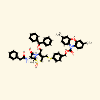 CC(=O)Oc1ccc2c(c1)Oc1cc(OC(C)=O)ccc1N2C(=O)OCc1ccc(SCC2=C(COC(c3ccccc3)c3ccccc3)N3C(=O)[C@@H](NC(=O)Cc4ccccc4)[C@H]3[S+]([O-])C2)cc1